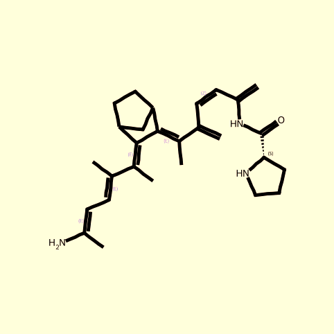 C=C(/C=C\C(=C)/C(C)=C1/C(=C(C)/C(C)=C/C=C(\C)N)C2CCC1C2)NC(=O)[C@@H]1CCCN1